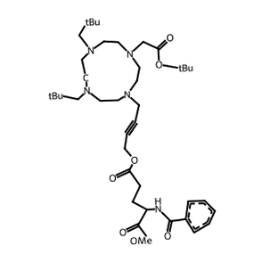 COC(=O)C(CCC(=O)OCC#CCN1CCN(CC(=O)OC(C)(C)C)CCN(CC(C)(C)C)CCN(CC(C)(C)C)CC1)NC(=O)c1ccccc1